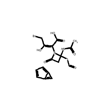 CC(=O)NC1(SC=O)CC(=O)N1C(C(=O)O)=C(O)CBr.c1cc2cc-2c1